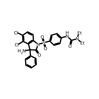 CCN(CC)C(=O)Nc1ccc(S(=O)(=O)N2C(=O)C(N)(c3ccccc3)c3c2ccc(Cl)c3Cl)cc1